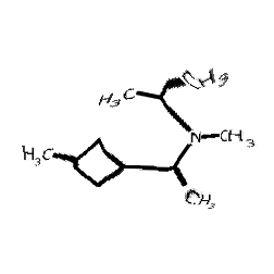 CC1CC(C(C)N(C)C(C)C)C1